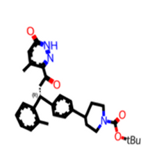 Cc1ccccc1[C@H](CC(=O)c1n[nH]c(=O)cc1C)c1ccc(C2CCN(C(=O)OC(C)(C)C)CC2)cc1